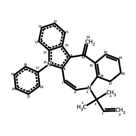 C=CC(C)(C)N1/C=C\c2c(c3ccccc3n2-c2ccccc2)C(=C)C2=C1CCC=C2